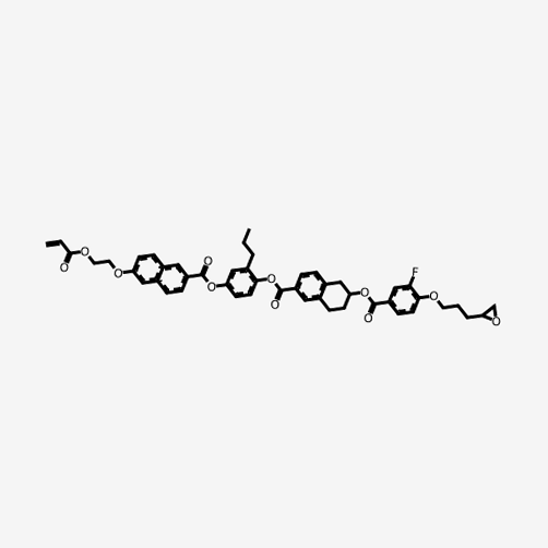 C=CC(=O)OCCOc1ccc2cc(C(=O)Oc3ccc(OC(=O)c4ccc5c(c4)CCC(OC(=O)c4ccc(OCCCC6CO6)c(F)c4)C5)c(CCC)c3)ccc2c1